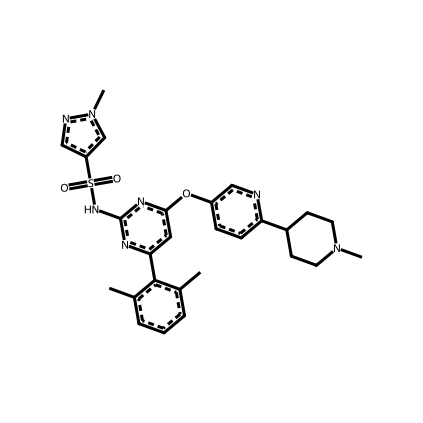 Cc1cccc(C)c1-c1cc(Oc2ccc(C3CCN(C)CC3)nc2)nc(NS(=O)(=O)c2cnn(C)c2)n1